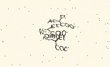 CC(C)C[O][Ti+3].CCC(C(C)=O)C(=O)[O-].CCC(C(C)=O)C(=O)[O-].CCC(C(C)=O)C(=O)[O-]